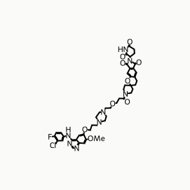 COc1cc2ncnc(Nc3ccc(F)c(Cl)c3)c2cc1OCCCN1CCN(CCOCCC(=O)N2CCC3(CCc4cc5c(cc4O3)C(=O)N(C3CCC(=O)NC3=O)C5=O)CC2)CC1